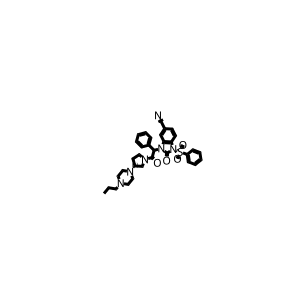 CCCN1CCN([C@H]2CCN(C(=O)C(c3ccccc3)n3c(=O)n(S(=O)(=O)c4ccccc4)c4ccc(C#N)cc43)C2)CC1